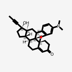 CC#C[C@]1(O)CC[C@H]2[C@@H]3CCC4=CC(=O)CC[C@@]45Sc4cc(N(C)C)ccc4[C@@H](C[C@@]21C)[C@@H]35